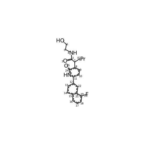 CC(C)C(C(=O)NCCO)c1ccc(-c2ccc3cccc(F)c3c2)[nH]c1=O